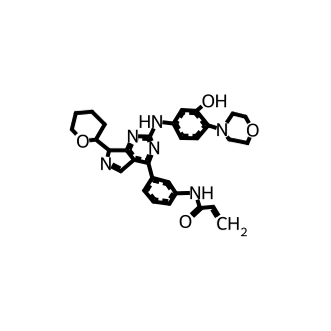 C=CC(=O)Nc1cccc(-c2nc(Nc3ccc(N4CCOCC4)c(O)c3)nc3c2C=NC3C2CCCCO2)c1